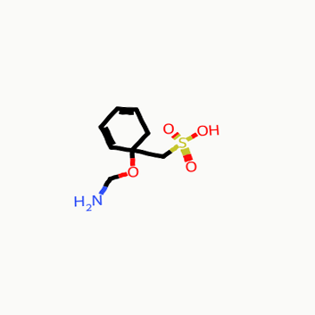 NCOC1(CS(=O)(=O)O)C=CC=CC1